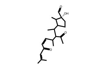 CC(=O)C(C(C)/C=C\C(=O)C=C(C)C)C(C)C1CC[C@](O)(C=O)C1C